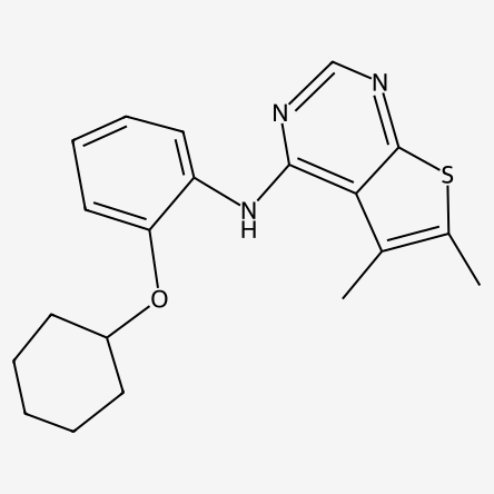 Cc1sc2ncnc(Nc3ccccc3OC3CCCCC3)c2c1C